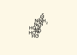 NC1(Cc2cscc2I)N=CN=C2C1=NCN2[C@@H]1O[C@H](CO)[C@@H](O)[C@H]1O